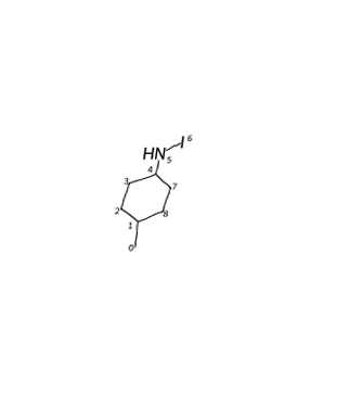 CC1CCC(NI)CC1